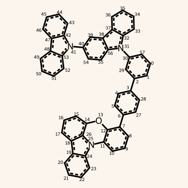 c1cc(-c2ccc(-c3cccc4c3Oc3cccc5c6ccccc6n-4c35)cc2)cc(-n2c3ccccc3c3cc(-n4c5ccccc5c5ccccc54)ccc32)c1